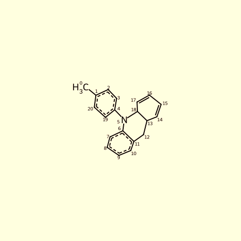 Cc1ccc(N2c3ccccc3CC3C=CC=CC32)cc1